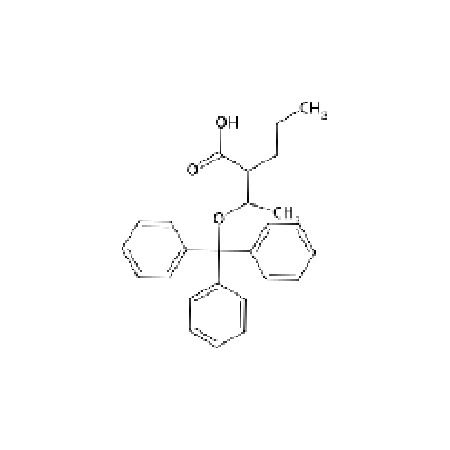 CCCC(C(=O)O)C(C)OC(c1ccccc1)(c1ccccc1)c1ccccc1